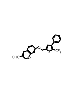 O=CC1=Cc2ccc(OCc3cc(-c4ccccc4)c(C(F)(F)F)s3)cc2OC1